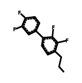 CCCc1ccc(-c2ccc(F)c(F)c2)c(F)c1F